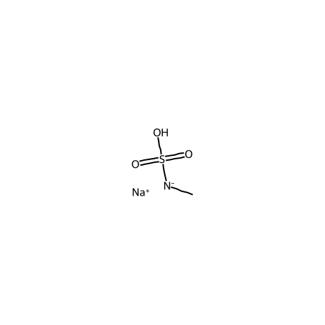 C[N-]S(=O)(=O)O.[Na+]